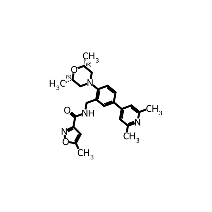 Cc1cc(-c2ccc(N3C[C@@H](C)O[C@@H](C)C3)c(CNC(=O)c3cc(C)on3)c2)cc(C)n1